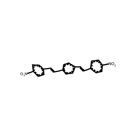 O=[N+]([O-])c1ccc(C=Cc2ccc(C=Cc3ccc([N+](=O)[O-])cc3)cc2)cc1